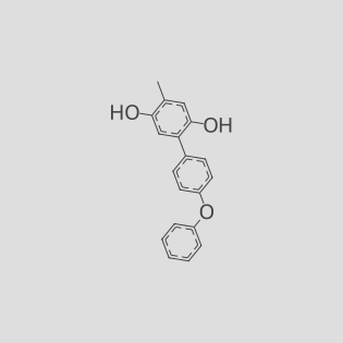 Cc1cc(O)c(-c2ccc(Oc3ccccc3)cc2)cc1O